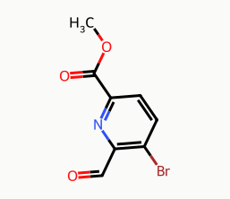 COC(=O)c1ccc(Br)c(C=O)n1